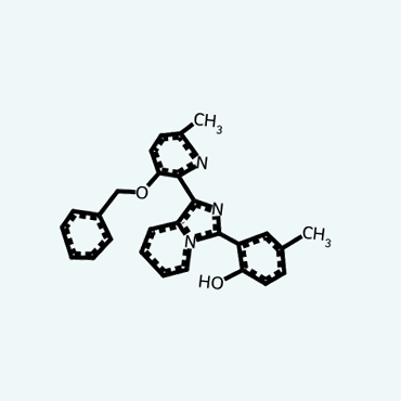 Cc1ccc(O)c(-c2nc(-c3nc(C)ccc3OCc3ccccc3)c3ccccn23)c1